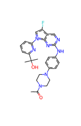 CC(=O)N1CCN(c2ccc(Nc3ncc4c(F)cn(-c5cccc(C(C)(C)O)n5)c4n3)cc2)CC1